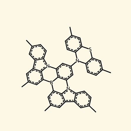 Cc1ccc2c(c1)Sc1cc(C)ccc1N2c1cc2c3c(c1)-n1c4ccc(C)cc4c4cc(C)cc(c41)B3c1cc(C)cc3c4cc(C)ccc4n-2c13